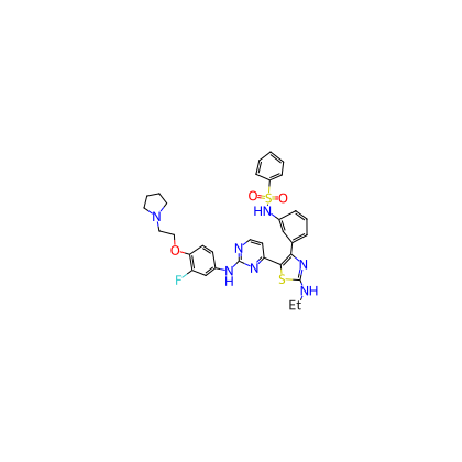 CCNc1nc(-c2cccc(NS(=O)(=O)c3ccccc3)c2)c(-c2ccnc(Nc3ccc(OCCN4CCCC4)c(F)c3)n2)s1